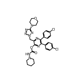 O=C(NN1CCCCC1)Oc1nc(-c2ccc(Cl)cc2)c(-c2ccc(Cl)cc2)nc1Cn1nnc(N2CCOCC2)n1